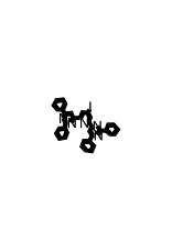 Ic1cc(-c2cc(-c3ccccc3)nc(-c3ccccc3)n2)nc(-c2cc(-c3ccccc3)nc(-c3ccccc3)n2)c1